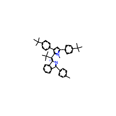 Cc1ccc(C2=N/C(=C(\c3c(-c4ccc(C(C)(C)C)cc4)cc(-c4ccc(C(C)(C)C)cc4)n3C)C(C)(C)C)c3ccccc32)cc1